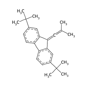 CC(C)=C=C1c2cc(C(C)(C)C)ccc2-c2ccc(C(C)(C)C)cc21